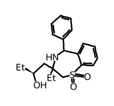 CC[C@H](O)CC1(CC)CS(=O)(=O)c2ccccc2C(c2ccccc2)N1